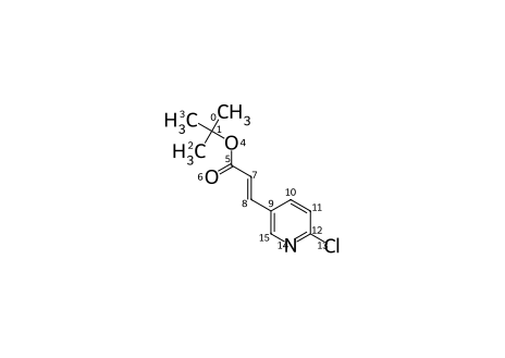 CC(C)(C)OC(=O)C=Cc1ccc(Cl)nc1